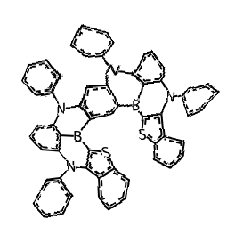 c1ccc(N2c3cc4c(cc3B3c5sc6ccccc6c5N(c5ccccc5)c5cccc2c53)B2c3sc5ccccc5c3N(c3ccccc3)c3cccc(c32)N4c2ccccc2)cc1